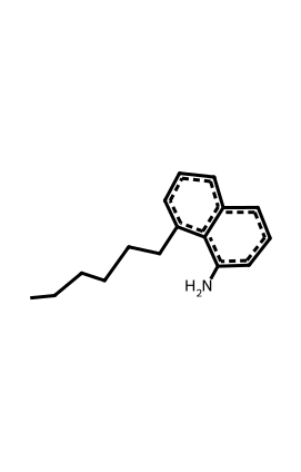 CCCCCCc1cccc2cccc(N)c12